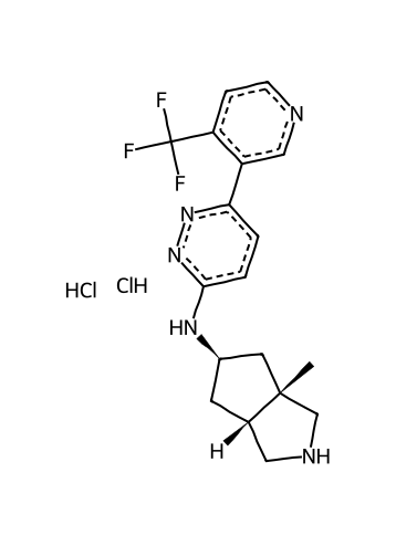 C[C@@]12CNC[C@@H]1C[C@@H](Nc1ccc(-c3cnccc3C(F)(F)F)nn1)C2.Cl.Cl